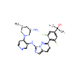 C[C@@H]1C[C@H](N)CN(c2ccncc2Nc2ncc3ccc(-c4c(F)cc(C(C)(C)O)cc4F)nn23)C1